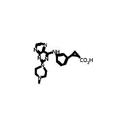 CN1CCN(c2nc(Nc3cccc(C4CC4C(=O)O)c3)c3nccnc3n2)CC1